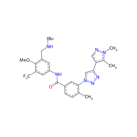 COc1c(CNC(C)(C)C)cc(NC(=O)c2ccc(C)c(-n3cc(-c4cnn(C)c4C)nn3)c2)cc1C(F)(F)F